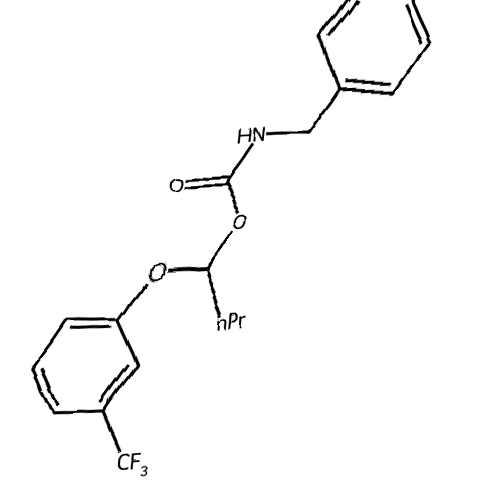 CCCC(OC(=O)NCc1ccccc1)Oc1cccc(C(F)(F)F)c1